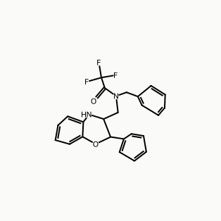 O=C(N(Cc1ccccc1)CC1Nc2ccccc2OC1c1ccccc1)C(F)(F)F